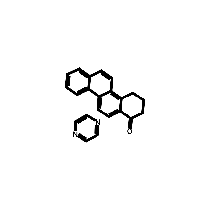 O=C1CCCc2c1ccc1c2ccc2ccccc21.c1cnccn1